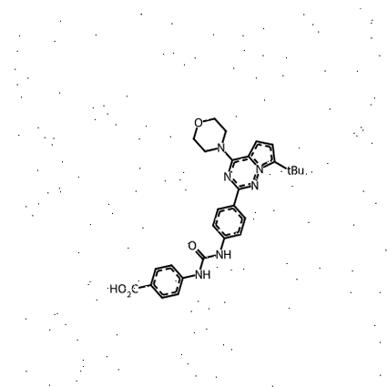 CC(C)(C)c1ccc2c(N3CCOCC3)nc(-c3ccc(NC(=O)Nc4ccc(C(=O)O)cc4)cc3)nn12